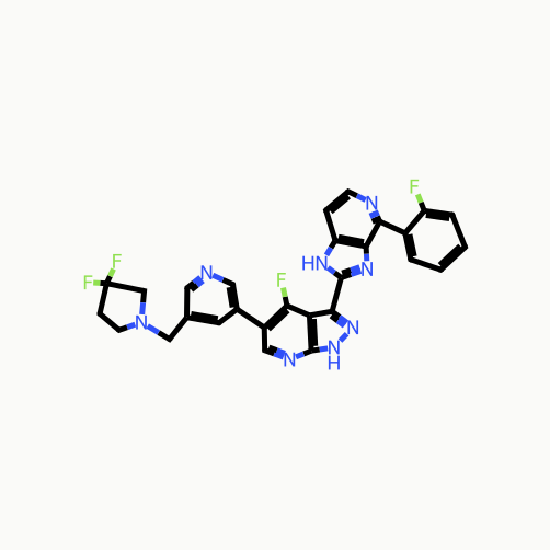 Fc1ccccc1-c1nccc2[nH]c(-c3n[nH]c4ncc(-c5cncc(CN6CCC(F)(F)C6)c5)c(F)c34)nc12